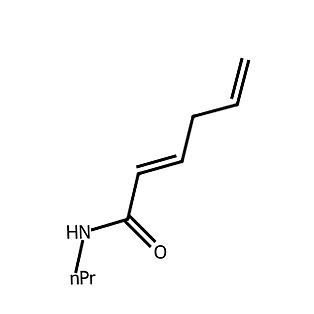 C=CCC=CC(=O)NCCC